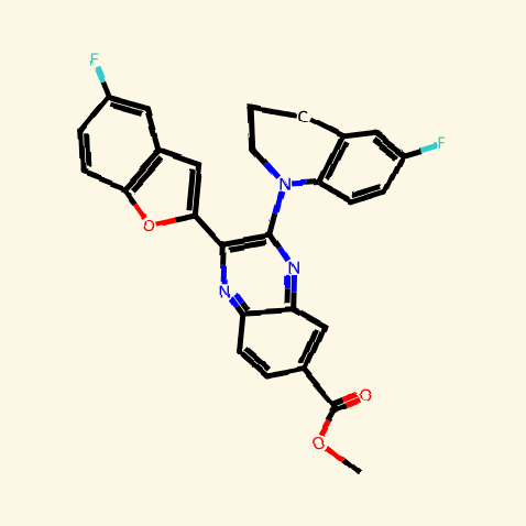 COC(=O)c1ccc2nc(-c3cc4cc(F)ccc4o3)c(N3CCCc4cc(F)ccc43)nc2c1